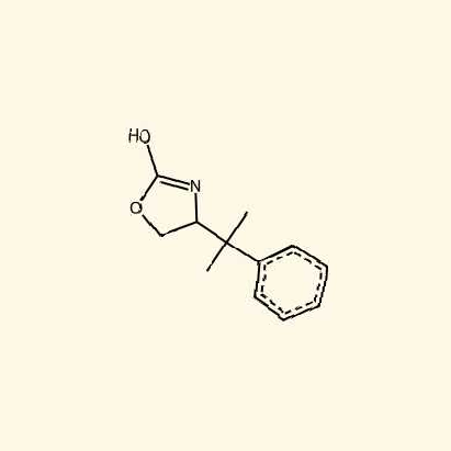 CC(C)(c1ccccc1)C1COC(O)=N1